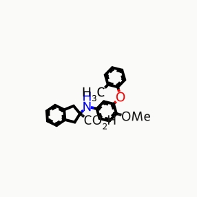 COc1ccc(NC2(C(=O)O)Cc3ccccc3C2)cc1Oc1ccccc1C